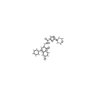 O=C(NCc1cn(-c2ccccc2)c2cc(Cl)ccc2c1=O)c1cnc(N2CCOCC2)s1